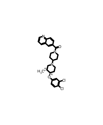 C[C@@H]1CN(C2CCN(C(=O)c3ccc4ncccc4c3)CC2)CC[C@H]1Oc1ccc(Cl)c(Cl)c1